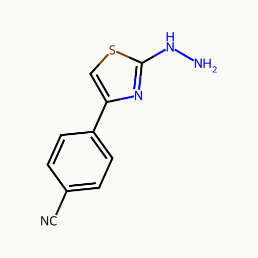 N#Cc1ccc(-c2csc(NN)n2)cc1